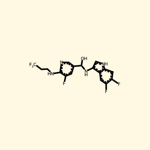 OC(Nc1c[nH]c2cc(F)c(F)cc12)c1cnc(NCCC(F)(F)F)c(F)c1